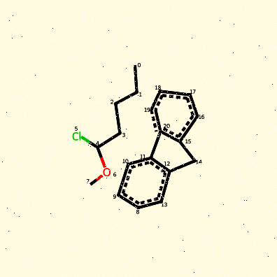 CCCCC(Cl)OC.c1ccc2c(c1)Cc1ccccc1-2